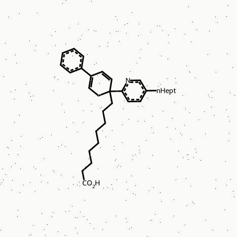 CCCCCCCc1ccc(C2(CCCCCCCCC(=O)O)C=CC(c3ccccc3)=CC2)nc1